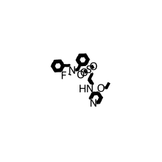 CCOc1ccncc1NC=CCS(=O)(=O)c1ccccc1C(=O)N(C)Cc1ccccc1F